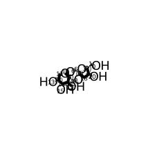 OC[C@H]1O[C@@]2(CO[C@]3(CO2)OC[C@@H](O)C(O)C3O)CC1O